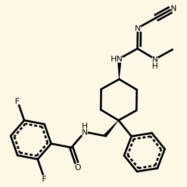 CN/C(=N\C#N)N[C@H]1CC[C@](CNC(=O)c2cc(F)ccc2F)(c2ccccc2)CC1